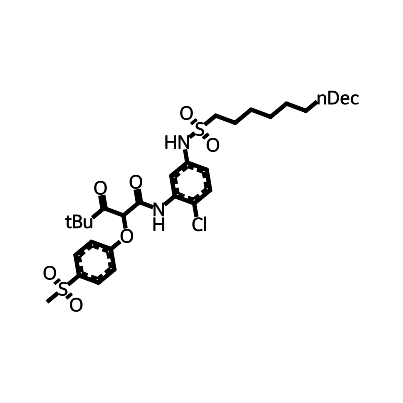 CCCCCCCCCCCCCCCCS(=O)(=O)Nc1ccc(Cl)c(NC(=O)C(Oc2ccc(S(C)(=O)=O)cc2)C(=O)C(C)(C)C)c1